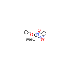 COc1c(OCc2ccccc2)cn2c1C=[N+]([O-])C1=CCCCC1C2=O